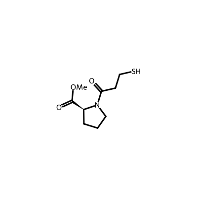 COC(=O)[C@@H]1CCCN1C(=O)CCS